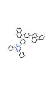 c1ccc(-c2cc(-c3cccc(-c4ccc5ccccc5c4-c4ccc(-c5ccc6c7c(cccc57)-c5ccccc5-6)cc4)c3)nc(-c3ccccc3)n2)cc1